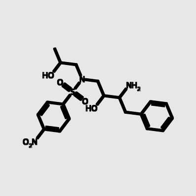 CC(O)CN(CC(O)C(N)Cc1ccccc1)S(=O)(=O)c1ccc([N+](=O)[O-])cc1